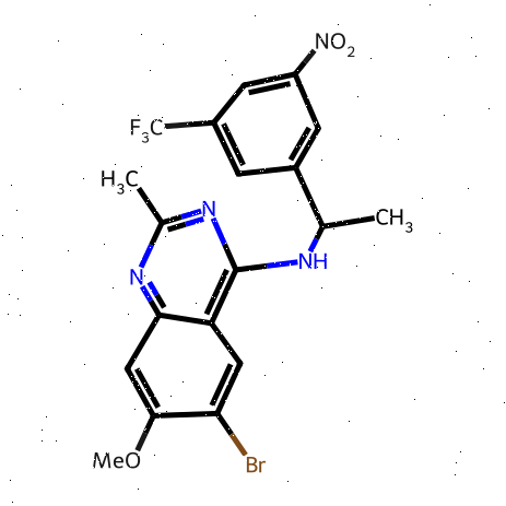 COc1cc2nc(C)nc(NC(C)c3cc([N+](=O)[O-])cc(C(F)(F)F)c3)c2cc1Br